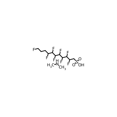 CNC.O=S(=O)(O)CC(F)C(F)C(F)C(F)C(F)C(F)C(F)CCCF